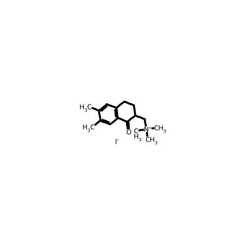 Cc1cc2c(cc1C)C(=O)C(C[N+](C)(C)C)CC2.[I-]